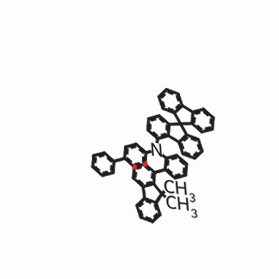 CC1(C)c2ccccc2-c2cccc(-c3ccccc3N(c3ccc(-c4ccccc4)cc3)c3cccc4c3-c3ccccc3C43c4ccccc4-c4ccccc43)c21